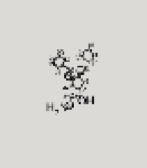 NOC1CCc2c(ccc(OCc3ccccc3)c2OCc2ccccc2)C1O